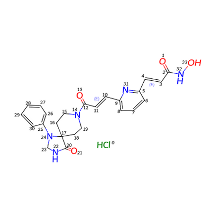 Cl.O=C(/C=C/c1cccc(/C=C/C(=O)N2CCC3(CC2)C(=O)NCN3c2ccccc2)n1)NO